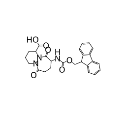 O=C(NC1CCC(=O)N2CCCC(C(=O)O)N2C1=O)OCC1c2ccccc2-c2ccccc21